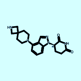 O=C1CC[C@@H](n2ncc3c(N4CCC5(CC4)CNC5)cccc32)C(=O)N1